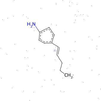 [CH2]CC/C=C/c1ccc(N)cc1